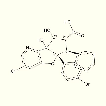 O=C(O)[C@H]1[C@@H](O)C2(O)c3ncc(Cl)cc3O[C@@]2(c2ccc(Br)cc2)[C@@H]1c1ccccc1